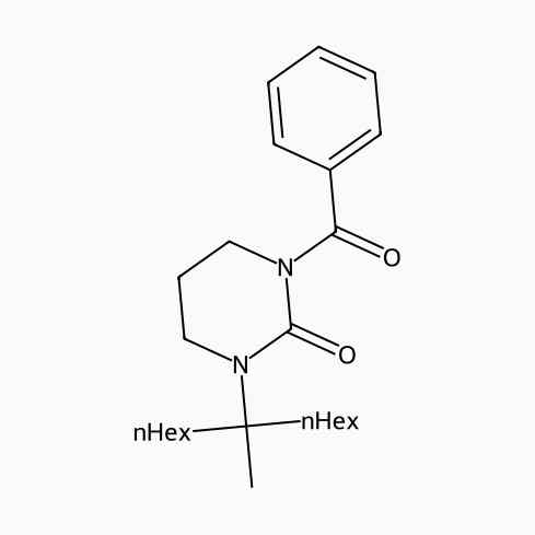 CCCCCCC(C)(CCCCCC)N1CCCN(C(=O)c2ccccc2)C1=O